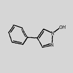 On1cc(-c2c[c]ccc2)cn1